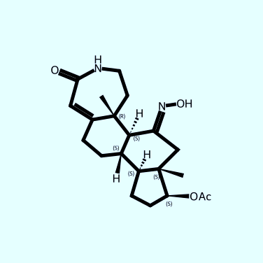 CC(=O)O[C@H]1CC[C@H]2[C@@H]3CCC4=CC(=O)NCC[C@]4(C)[C@H]3C(=NO)C[C@]12C